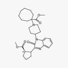 COC(=O)[C@@H]1CCCC1c1nc2ccccc2n(C2CCN(C3(C(=O)OC)CCCCCCC3)CC2)c1=O